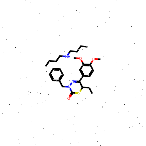 CCC1SC(=O)N(Cc2ccccc2)N=C1c1ccc(OC)c(OC)c1.CCCCNCCCC